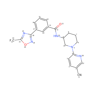 N#Cc1ccc(N2CCCC(NC(=O)c3cccc(-c4noc(C(F)(F)F)n4)c3)C2)nc1